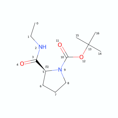 CCNC(=O)[C@@H]1CCCN1C(=O)OC(C)(C)C